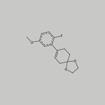 COc1ccc(F)c(C2=CCC3(CC2)OCCO3)c1